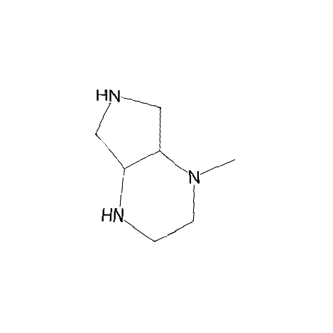 CN1CCNC2CNCC21